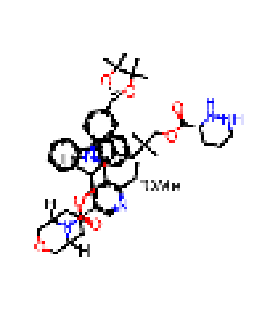 CCn1c(-c2cc([C@@H]3C[C@H]4COC[C@@H](C3)N4C(=O)OCC3c4ccccc4-c4ccccc43)cnc2[C@H](C)OC)c(CC(C)(C)COC(=O)[C@@H]2CCCNN2)c2cc(B3OC(C)(C)C(C)(C)O3)ccc21